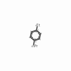 [CH2]Cc1ccc(CCC)cc1